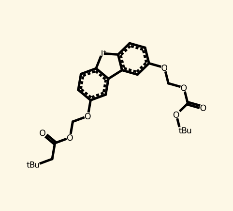 CC(C)(C)CC(=O)OCOc1ccc2c(c1)-c1cc(OCOC(=O)OC(C)(C)C)ccc1[I+]2